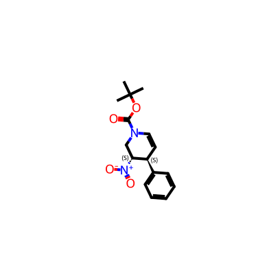 CC(C)(C)OC(=O)N1C=C[C@@H](c2ccccc2)[C@H]([N+](=O)[O-])C1